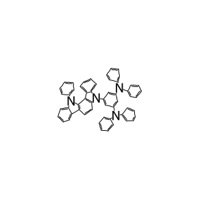 c1ccc(N(c2ccccc2)c2cc(N(c3ccccc3)c3ccccc3)cc(-n3c4ccccc4c4c3ccc3c5ccccc5n(-c5ccccc5)c34)c2)cc1